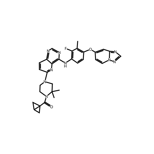 Cc1c(Oc2ccn3ncnc3c2)ccc(Nc2ncnc3ccc(N4CCN(C(=O)C56CC5C6)C(C)(C)C4)nc23)c1F